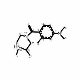 C=C(c1ccc(N(C)C)cc1C)N(CC)CC(C)NC